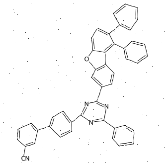 N#Cc1cccc(-c2ccc(-c3nc(-c4ccccc4)nc(-c4ccc5c(c4)oc4ccc(-c6ccccc6)c(-c6ccccc6)c45)n3)cc2)c1